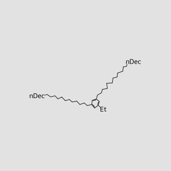 CCCCCCCCCCCCCCCCCCCCCCc1cc(CC)cc(CCCCCCCCCCCCCCCCCCCCCC)c1